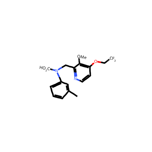 COc1c(OCC(F)(F)F)ccnc1CN(C(=O)O)c1cccc(C)c1